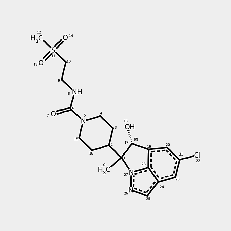 CC1(C2CCN(C(=O)NCCS(C)(=O)=O)CC2)[C@H](O)c2cc(Cl)cc3cnn1c23